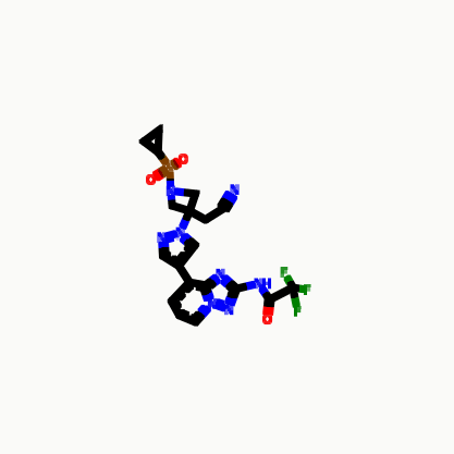 N#CCC1(n2cc(-c3cccn4nc(NC(=O)C(F)(F)F)nc34)cn2)CN(S(=O)(=O)C2CC2)C1